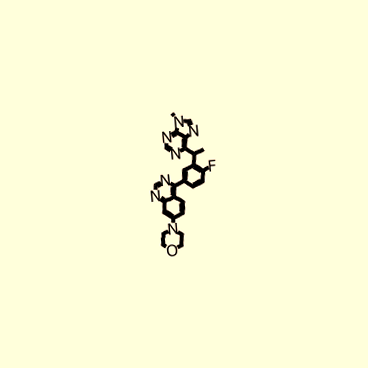 CC(c1cc(-c2ncnc3cc(N4CCOCC4)ccc23)ccc1F)c1ncnc2c1ncn2C